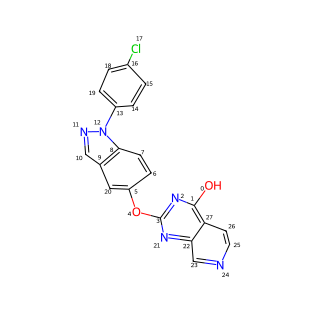 Oc1nc(Oc2ccc3c(cnn3-c3ccc(Cl)cc3)c2)nc2cnccc12